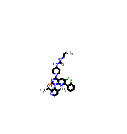 CCCNC(=S)NC1CCN(c2nc(=O)n(-c3c(C)ccnc3C(C)C)c3nc(-c4ccccc4F)c(F)cc23)CC1